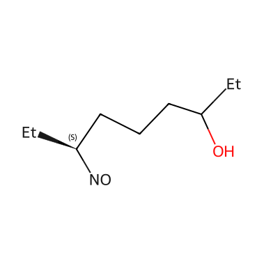 CCC(O)CCC[C@H](CC)N=O